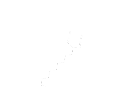 CCCCCCCCCCCCCCCCCC(N=C=O)N=C=O